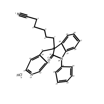 Cl.N#CCCCCCC1(Cc2ccncc2)C(=O)N(c2ccccc2)c2ccccc21